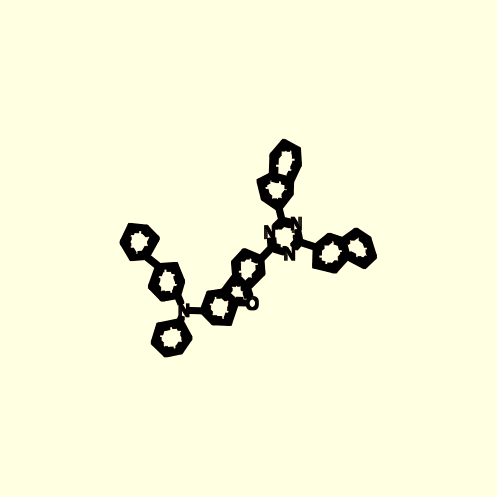 c1ccc(-c2ccc(N(c3ccccc3)c3ccc4oc5cc(-c6nc(-c7ccc8ccccc8c7)nc(-c7ccc8ccccc8c7)n6)ccc5c4c3)cc2)cc1